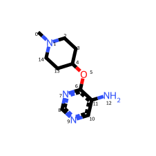 CN1CCC(Oc2ncncc2N)CC1